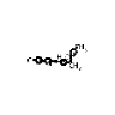 CC(=CC(C)N1CCC(C)CC1)c1ccc(C#Cc2ccc(-c3ccc(Cl)cc3)cn2)cc1